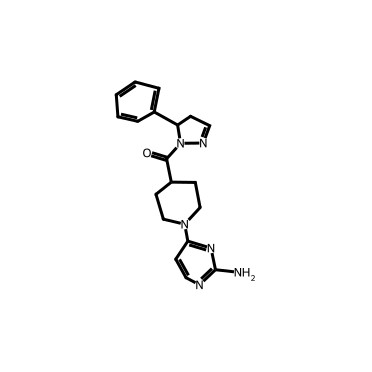 Nc1nccc(N2CCC(C(=O)N3N=CCC3c3ccccc3)CC2)n1